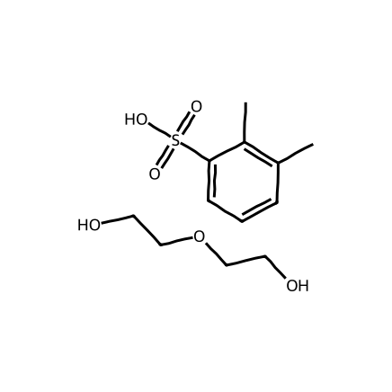 Cc1cccc(S(=O)(=O)O)c1C.OCCOCCO